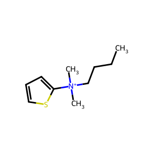 CCCC[N+](C)(C)c1cccs1